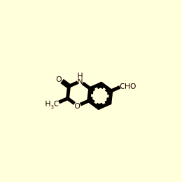 CC1Oc2ccc(C=O)cc2NC1=O